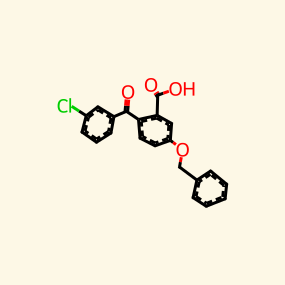 O=C(O)c1cc(OCc2ccccc2)ccc1C(=O)c1cccc(Cl)c1